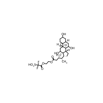 C[C@H](CCC(=O)OCCOC(=O)C(F)(F)S(=O)(=O)O)[C@H]1CC[C@H]2[C@@H]3C(O)C[C@@H]4CC(O)CC[C@]4(C)[C@H]3CC(O)[C@]12C